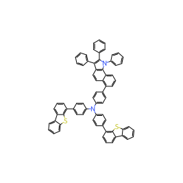 c1ccc(-c2c(-c3ccccc3)n(-c3ccccc3)c3c2ccc2c(-c4ccc(N(c5ccc(-c6cccc7c6sc6ccccc67)cc5)c5ccc(-c6cccc7c6sc6ccccc67)cc5)cc4)cccc23)cc1